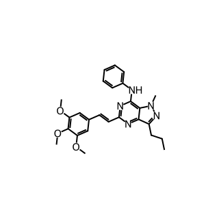 CCCc1nn(C)c2c(Nc3ccccc3)nc(C=Cc3cc(OC)c(OC)c(OC)c3)nc12